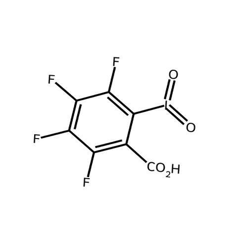 O=C(O)c1c(F)c(F)c(F)c(F)c1I(=O)=O